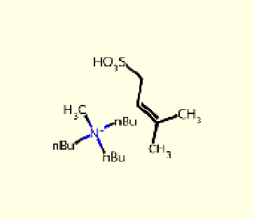 CC(C)=CCS(=O)(=O)O.CCCC[N+](C)(CCCC)CCCC